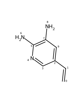 C=Cc1cnc(N)c(N)c1